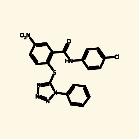 O=C(Nc1ccc(Cl)cc1)c1cc([N+](=O)[O-])ccc1Sc1nnnn1-c1ccccc1